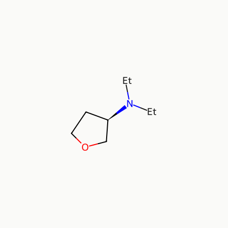 CCN(CC)[C@@H]1CCOC1